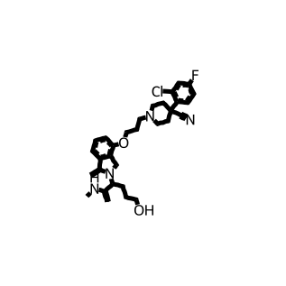 C=C(NC)C(CCCO)N1Cc2c(OCCCN3CCC(C#N)(c4ccc(F)cc4Cl)CC3)cccc2C1=C